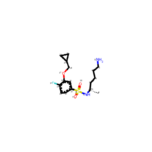 C[C@@H](CCCCN)NS(=O)(=O)c1ccc(F)c(OCC2CC2)c1